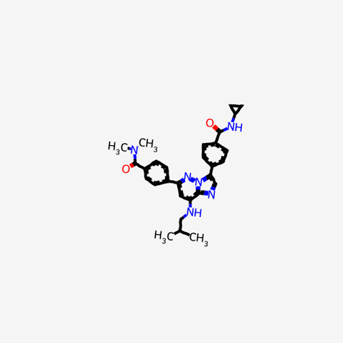 CC(C)CNc1cc(-c2ccc(C(=O)N(C)C)cc2)nn2c(-c3ccc(C(=O)NC4CC4)cc3)cnc12